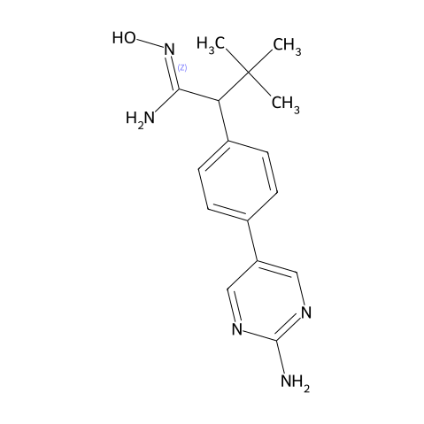 CC(C)(C)C(/C(N)=N/O)c1ccc(-c2cnc(N)nc2)cc1